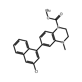 CN1CCN(C(=O)OC(C)(C)C)c2ccc(-c3cc(Cl)cc4ccccc34)cc21